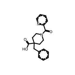 O=C(c1ccccn1)N1CCC(Cc2ccccc2)(C(=O)O)CC1